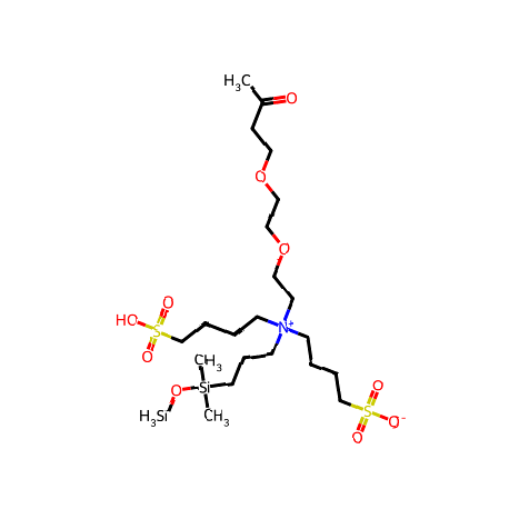 CC(=O)CCOCCOCC[N+](CCCCS(=O)(=O)[O-])(CCCCS(=O)(=O)O)CCC[Si](C)(C)O[SiH3]